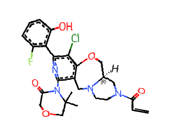 C=CC(=O)N1CCN2Cc3c(N4C(=O)COCC4(C)C)nc(-c4c(O)cccc4F)c(Cl)c3OC[C@H]2C1